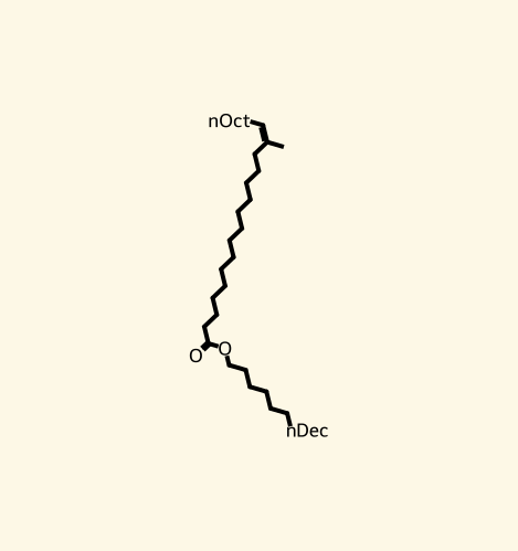 CCCCCCCCC=C(C)CCCCCCCCCCCCCC(=O)OCCCCCCCCCCCCCCCC